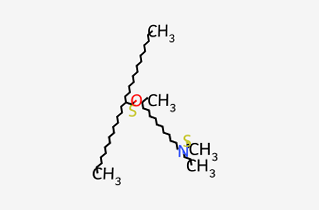 CCCCCCCCCCCCCCC(CCCCCCCCCCCCCC)C(=S)OC(CC)CCCCCCCCCCCN(CCC)C(C)=S